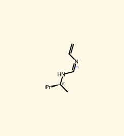 C=C/N=C\N[C@@H](C)C(C)C